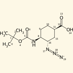 CC(C)(C)OC(=O)N[C@H]1CC[C@@H](C(=O)O)C[C@@H]1N=[N+]=[N-]